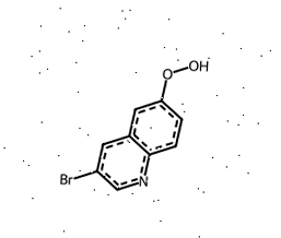 OOc1ccc2ncc(Br)cc2c1